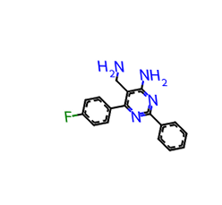 NCc1c(N)nc(-c2ccccc2)nc1-c1ccc(F)cc1